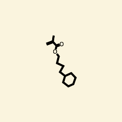 C=C(C)C(=O)OCCCCC1CCCCC1